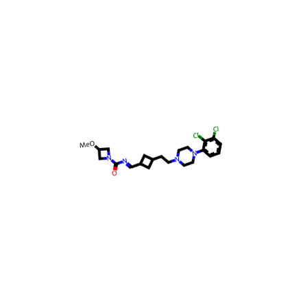 COC1CN(C(=O)/N=C/C2CC(CCN3CCN(c4cccc(Cl)c4Cl)CC3)C2)C1